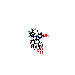 Cc1cc(-n2c(C3CCOCC3)c(CCC(C)(C)C(=O)O)c3cc(O)ccc32)ccc1F